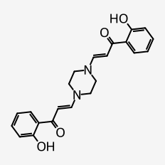 O=C(C=CN1CCN(C=CC(=O)c2ccccc2O)CC1)c1ccccc1O